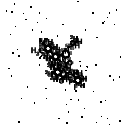 [2H]c1c([2H])c(F)c(F)c(C([2H])([2H])Sc2c([2H])c(=O)c3c([2H])c([2H])c([2H])c([2H])c3n2C([2H])([2H])C(=O)N(Cc2c([2H])c([2H])c(-c3c([2H])c([2H])c(C(F)(F)F)c(C)c3[2H])c([2H])c2[2H])C2CCN(CCOC([2H])([2H])[2H])CC2)c1[2H]